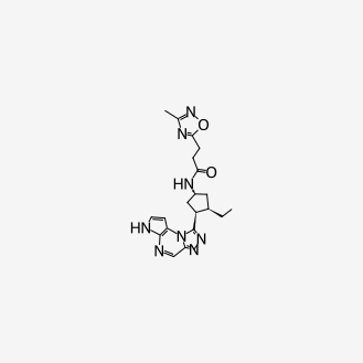 CC[C@@H]1C[C@H](NC(=O)CCc2nc(C)no2)C[C@@H]1c1nnc2cnc3[nH]ccc3n12